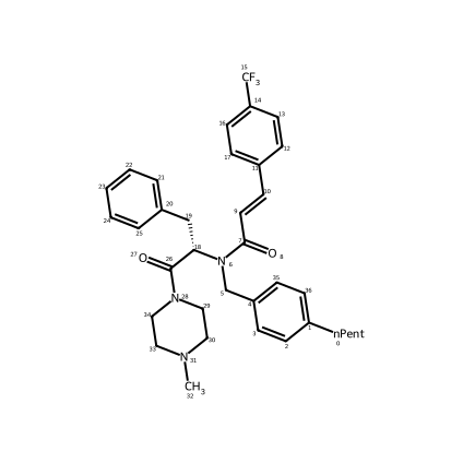 CCCCCc1ccc(CN(C(=O)/C=C/c2ccc(C(F)(F)F)cc2)[C@@H](Cc2ccccc2)C(=O)N2CCN(C)CC2)cc1